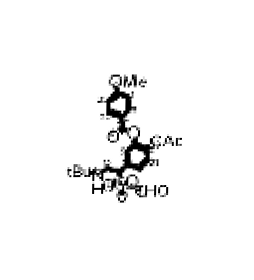 COc1ccc(C(=O)Oc2cc(C(CNC(C)(C)C)S(=O)(=O)OC=O)ccc2OC(C)=O)cc1